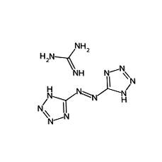 N(=Nc1nnn[nH]1)c1nnn[nH]1.N=C(N)N